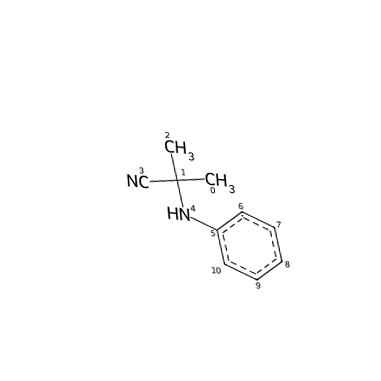 CC(C)(C#N)Nc1[c]cccc1